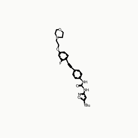 CC(C)(C)c1cc(NC(=O)Nc2ccc(C#Cc3ccc(OCCN4CCOCC4)cc3F)cc2)no1